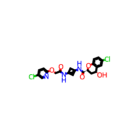 O=C(COc1ccc(Cl)cn1)NC12CC(NC(=O)[C@H]3C[C@@H](O)c4cc(Cl)ccc4O3)(C1)C2